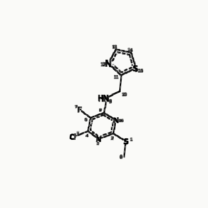 CSc1nc(Cl)c(F)c(NCc2nccs2)n1